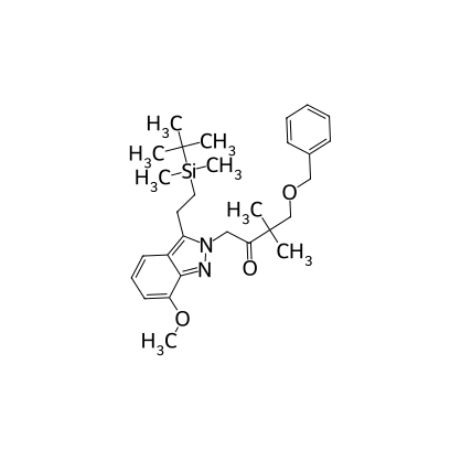 COc1cccc2c(CC[Si](C)(C)C(C)(C)C)n(CC(=O)C(C)(C)COCc3ccccc3)nc12